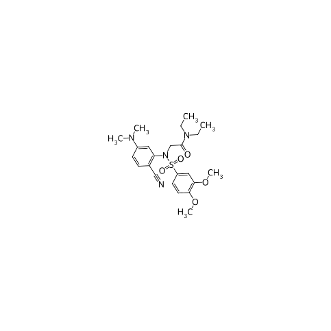 CCN(CC)C(=O)CN(c1cc(N(C)C)ccc1C#N)S(=O)(=O)c1ccc(OC)c(OC)c1